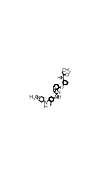 C=CC(=O)Nc1cccc(Oc2cccn3nc(Nc4ccc(NC5CCN(C)CC5)c(F)c4)nc23)c1